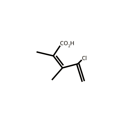 C=C(Cl)C(C)=C(C)C(=O)O